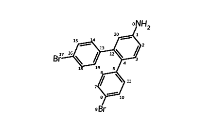 Nc1ccc(-c2ccc(Br)cc2)c(-c2ccc(Br)cc2)c1